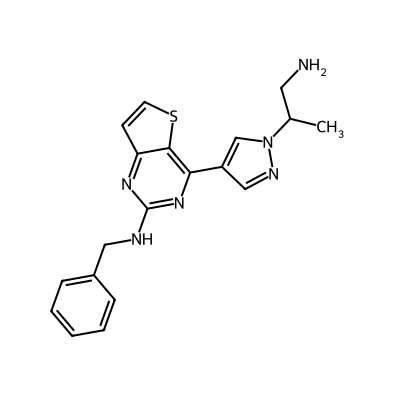 CC(CN)n1cc(-c2nc(NCc3ccccc3)nc3ccsc23)cn1